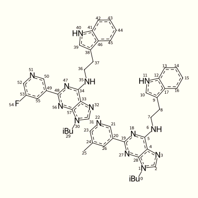 CCC(C)n1cnc2c(NCCc3c[nH]c4ccccc34)nc(-c3cncc(C)c3)nc21.CCC(C)n1cnc2c(NCCc3c[nH]c4ccccc34)nc(-c3cncc(F)c3)nc21